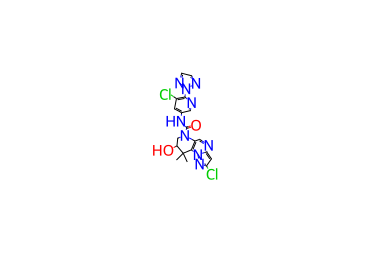 CC1(C)c2c(cnc3cc(Cl)nn23)N(C(=O)Nc2cnc(-n3nccn3)c(Cl)c2)CC1O